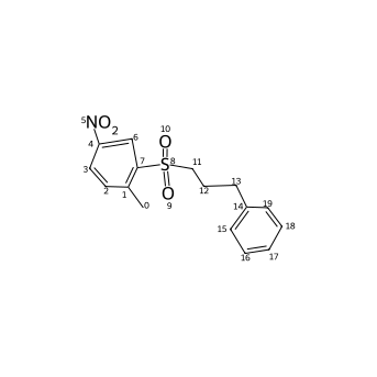 Cc1ccc([N+](=O)[O-])cc1S(=O)(=O)CCCc1ccccc1